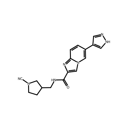 N#CN1CCC(CNC(=O)c2cn3cc(-c4cn[nH]c4)ccc3n2)C1